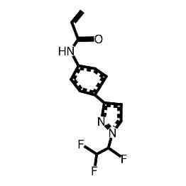 C=CC(=O)Nc1ccc(-c2ccn(C(F)C(F)F)n2)cc1